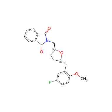 COc1ccc(F)cc1C[C@@H]1CC[C@@H](CN2C(=O)c3ccccc3C2=O)O1